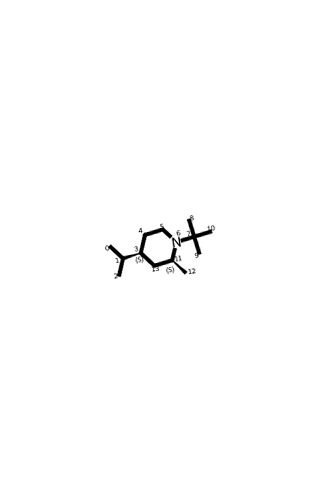 CC(C)[C@H]1CCN(C(C)(C)C)[C@@H](C)C1